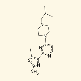 Cc1sc(N)nc1-c1nccc(N2CCN(CC(C)C)CC2)n1